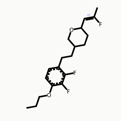 CCCOc1ccc(CCC2CCC(/C=C(/C)F)OC2)c(F)c1F